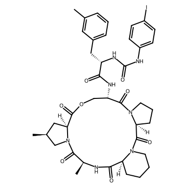 Cc1cccc(C[C@H](NC(=O)Nc2ccc(I)cc2)C(=O)N[C@H]2COC(=O)[C@@H]3C[C@H](C)CN3C(=O)[C@H](C)NC(=O)[C@@H]3CCCCN3C(=O)[C@@H]3CCCN3C2=O)c1